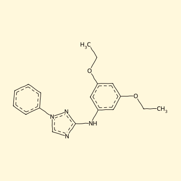 CCOc1cc(Nc2ncn(-c3ccccc3)n2)cc(OCC)c1